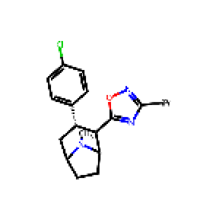 CC(C)c1noc(C2C3CCC(C[C@@H]2c2ccc(Cl)cc2)N3C)n1